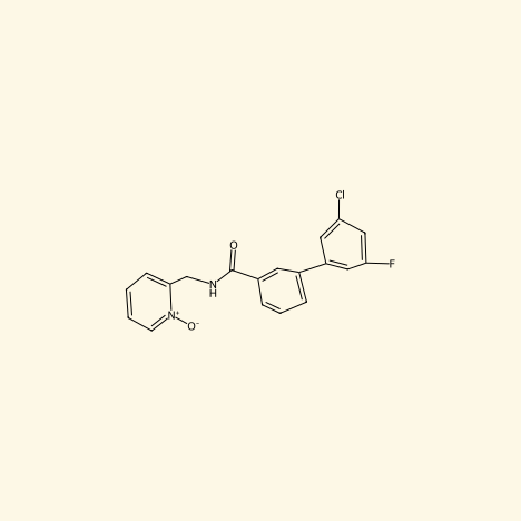 O=C(NCc1cccc[n+]1[O-])c1cccc(-c2cc(F)cc(Cl)c2)c1